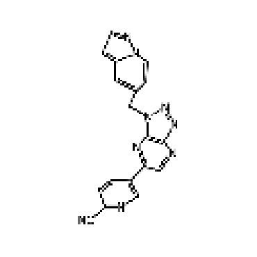 N#Cc1ccc(-c2cnc3nnn(Cc4ccn5nccc5c4)c3n2)cn1